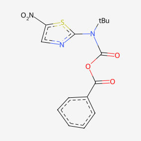 CC(C)(C)N(C(=O)OC(=O)c1ccccc1)c1ncc([N+](=O)[O-])s1